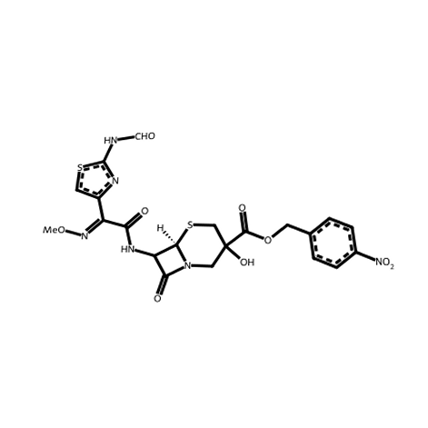 CON=C(C(=O)NC1C(=O)N2CC(O)(C(=O)OCc3ccc([N+](=O)[O-])cc3)CS[C@H]12)c1csc(NC=O)n1